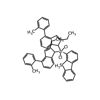 CCC1=Cc2c(-c3ccccc3C)cccc2[CH]1[Zr]([Cl])([Cl])([c]1cccc2c1[SiH2]c1ccccc1-2)[CH]1C(CC)=Cc2c(-c3ccccc3C)cccc21